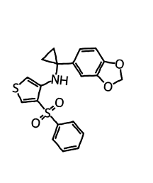 O=S(=O)(c1ccccc1)c1cscc1NC1(c2ccc3c(c2)OCO3)CC1